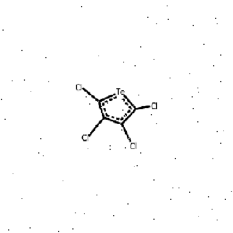 Clc1[te]c(Cl)c(Cl)c1Cl